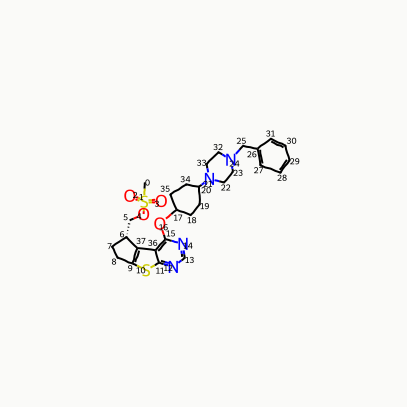 CS(=O)(=O)OC[C@H]1CCc2sc3ncnc(OC4CCC(N5CCN(Cc6ccccc6)CC5)CC4)c3c21